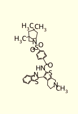 CN1CCc2c(sc(NC(=O)c3ccc(S(=O)(=O)N4CC5(C)CC4CC(C)(C)C5)cc3)c2-c2nc3ccccc3s2)C1